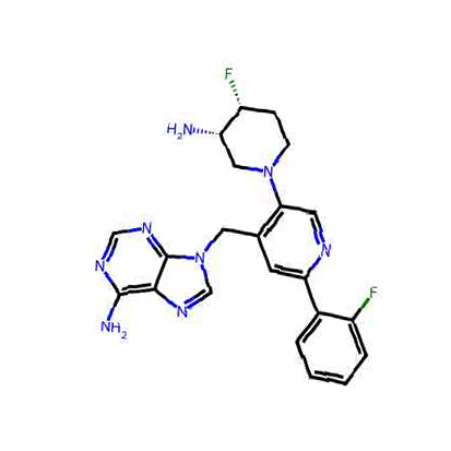 Nc1ncnc2c1ncn2Cc1cc(-c2ccccc2F)ncc1N1CC[C@@H](F)[C@@H](N)C1